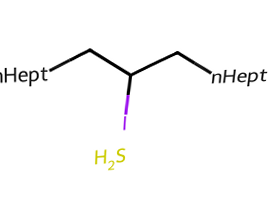 CCCCCCCCC(I)CCCCCCCC.S